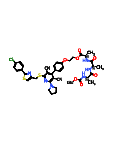 C[C@H](NC(=O)OC(C)(C)C)C(=O)N[C@@H](C)C(=O)N[C@@H](C)C(=O)OCCOc1ccc(-c2c(C#N)c(SCc3csc(-c4ccc(Cl)cc4)n3)nc(N3CCCC3)c2C#N)cc1